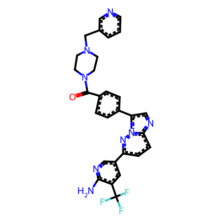 Nc1ncc(-c2ccc3ncc(-c4ccc(C(=O)N5CCN(Cc6cccnc6)CC5)cc4)n3n2)cc1C(F)(F)F